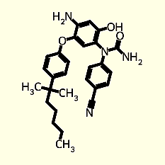 CCCCCC(C)(C)c1ccc(Oc2cc(N(C(N)=O)c3ccc(C#N)cc3)c(O)cc2N)cc1